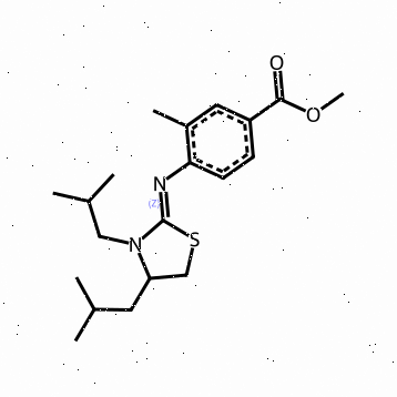 COC(=O)c1ccc(/N=C2\SCC(CC(C)C)N2CC(C)C)c(C)c1